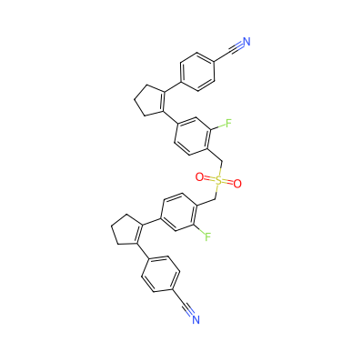 N#Cc1ccc(C2=C(c3ccc(CS(=O)(=O)Cc4ccc(C5=C(c6ccc(C#N)cc6)CCC5)cc4F)c(F)c3)CCC2)cc1